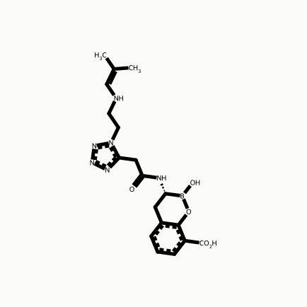 CC(C)=CNCCn1nnnc1CC(=O)N[C@H]1Cc2cccc(C(=O)O)c2OB1O